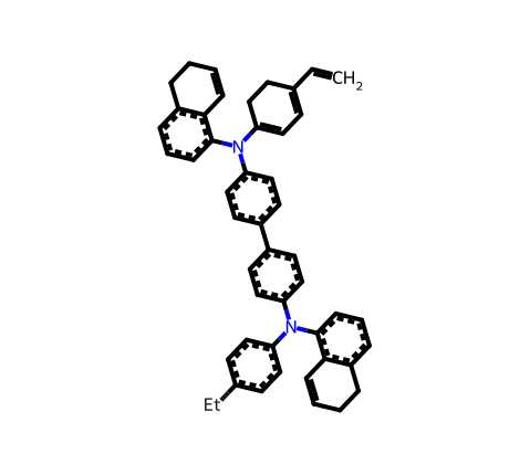 C=CC1=CC=C(N(c2ccc(-c3ccc(N(c4ccc(CC)cc4)c4cccc5c4C=CCC5)cc3)cc2)c2cccc3c2C=CCC3)CC1